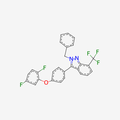 Fc1ccc(F)c(Oc2ccc(-c3c4cccc(C(F)(F)F)c4nn3Cc3ccccc3)cc2)c1